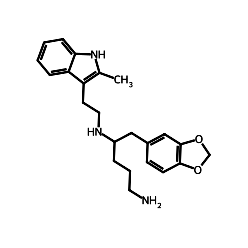 Cc1[nH]c2ccccc2c1CCNC(CCCN)Cc1ccc2c(c1)OCO2